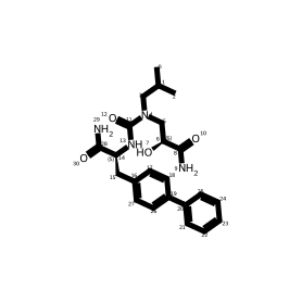 CC(C)CN(C[C@H](O)C(N)=O)C(=O)N[C@@H](Cc1ccc(-c2ccccc2)cc1)C(N)=O